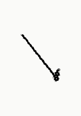 C#CC#CC#CC#CC#CC#CC#CC#CC#CC#CC#CC#CC#CC#CC#CC#CC1(C)c2ccccc2-c2ccc(C=O)cc21